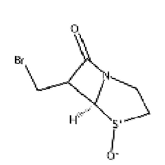 O=C1C(CBr)[C@H]2N1CC[S+]2[O-]